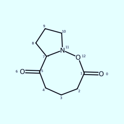 O=C1CCCC(=O)[C]2CCCN2O1